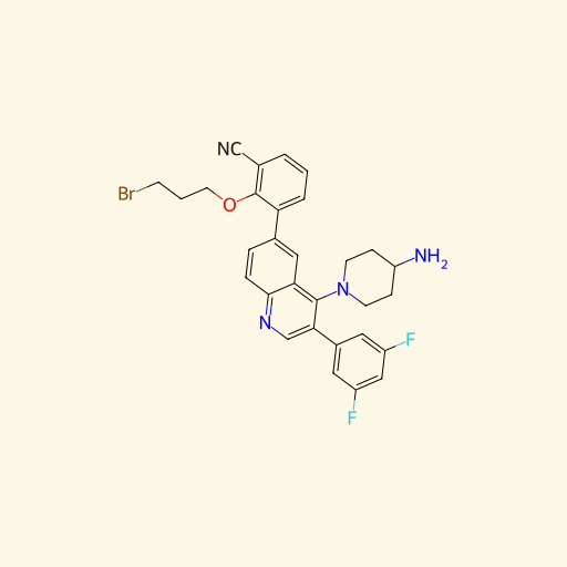 N#Cc1cccc(-c2ccc3ncc(-c4cc(F)cc(F)c4)c(N4CCC(N)CC4)c3c2)c1OCCCBr